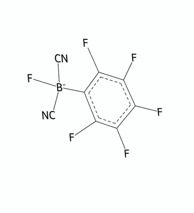 N#C[B-](F)(C#N)c1c(F)c(F)c(F)c(F)c1F